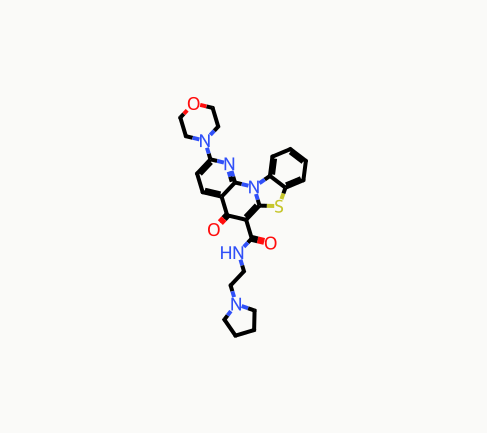 O=C(NCCN1CCCC1)c1c(=O)c2ccc(N3CCOCC3)nc2n2c1sc1ccccc12